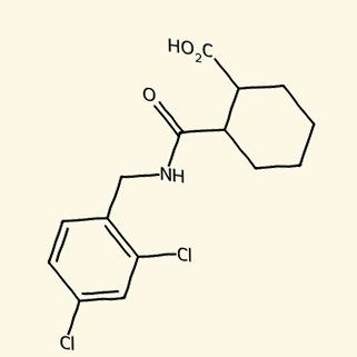 O=C(O)C1CCCCC1C(=O)NCc1ccc(Cl)cc1Cl